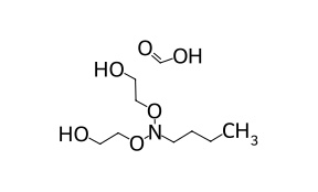 CCCCN(OCCO)OCCO.O=CO